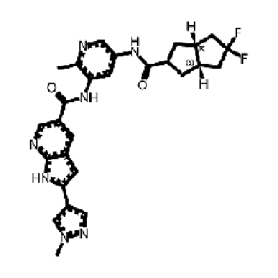 Cc1ncc(NC(=O)C2C[C@@H]3CC(F)(F)C[C@@H]3C2)cc1NC(=O)c1cnc2[nH]c(-c3cnn(C)c3)cc2c1